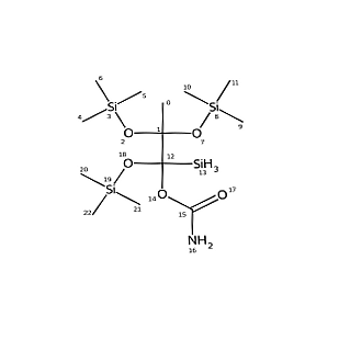 CC(O[Si](C)(C)C)(O[Si](C)(C)C)C([SiH3])(OC(N)=O)O[Si](C)(C)C